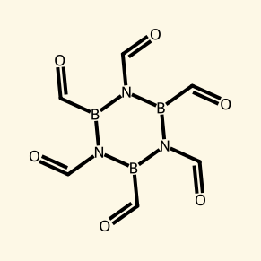 O=CB1N(C=O)B(C=O)N(C=O)B(C=O)N1C=O